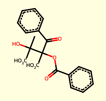 CC(O)(C(=O)O)C(OC(=O)c1ccccc1)(C(=O)O)C(=O)c1ccccc1